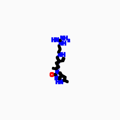 C=C/C(=C\C=C(/C)n1cc2cc(C)[nH]c2nc1=O)CNCCCNC(=N)N